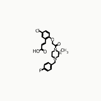 C[C@@H]1CN(Cc2ccc(F)cc2)CCN1C(=O)COc1ccc(Cl)cc1C=CC(=O)O